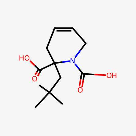 CC(C)(C)CC1(C(=O)O)CC=CCN1C(=O)O